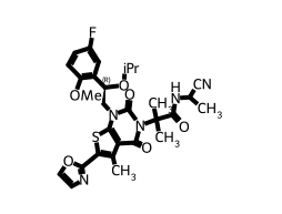 COc1ccc(F)cc1[C@H](Cn1c(=O)n(C(C)(C)C(=O)NC(C)C#N)c(=O)c2c(C)c(-c3ncco3)sc21)OC(C)C